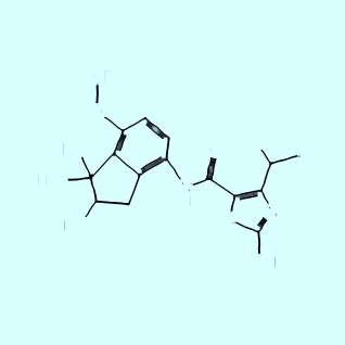 Cc1nc(C(F)F)c(C(=O)Nc2ccc(OC(F)(F)F)c3c2CC(C)C3(C)C)s1